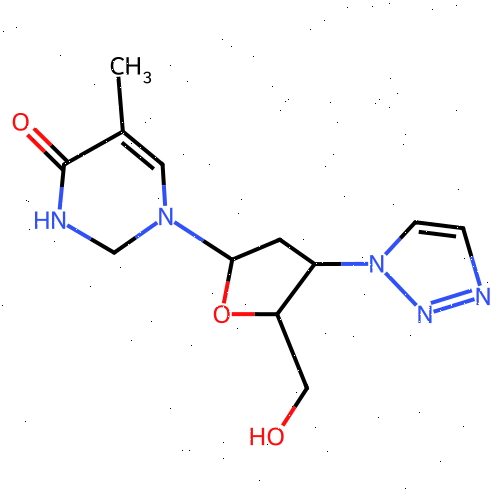 CC1=CN(C2CC(n3ccnn3)C(CO)O2)CNC1=O